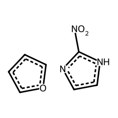 O=[N+]([O-])c1ncc[nH]1.c1ccoc1